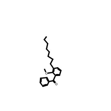 CCCCCCCCc1cccc(C(=O)c2ccccc2)c1OC